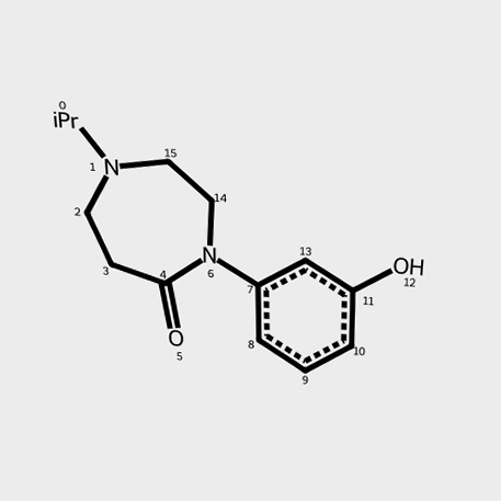 CC(C)N1CCC(=O)N(c2cccc(O)c2)CC1